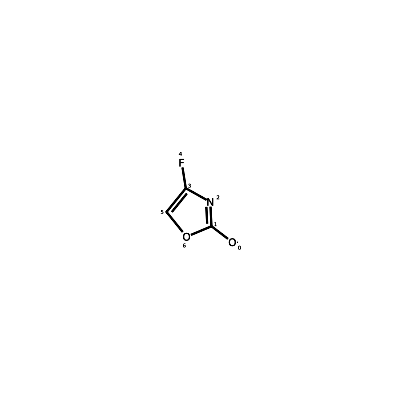 [O]c1nc(F)co1